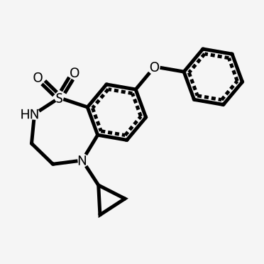 O=S1(=O)NCCN(C2CC2)c2ccc(Oc3ccccc3)cc21